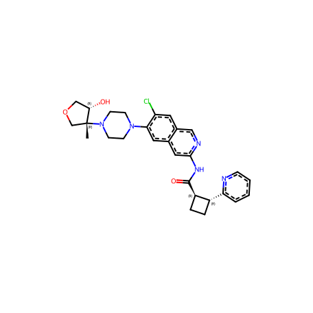 C[C@@]1(N2CCN(c3cc4cc(NC(=O)[C@@H]5CC[C@H]5c5ccccn5)ncc4cc3Cl)CC2)COC[C@@H]1O